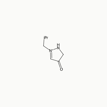 CC(C)C[N+]1=CC(=O)CN1